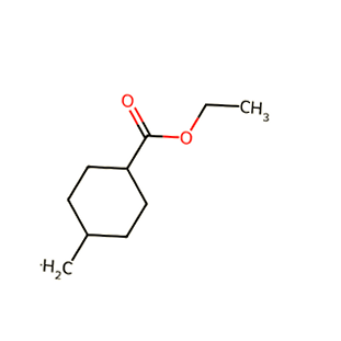 [CH2]C1CCC(C(=O)OCC)CC1